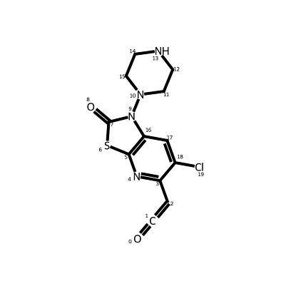 O=C=Cc1nc2sc(=O)n(N3CCNCC3)c2cc1Cl